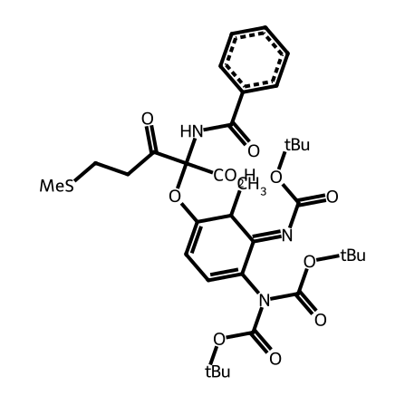 CSCCC(=O)C(NC(=O)c1ccccc1)(OC1=CC=C(N(C(=O)OC(C)(C)C)C(=O)OC(C)(C)C)C(=NC(=O)OC(C)(C)C)C1C)C(=O)O